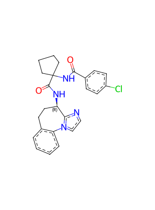 O=C(NC1(C(=O)N[C@@H]2CCc3ccccc3-n3ccnc32)CCCC1)c1ccc(Cl)cc1